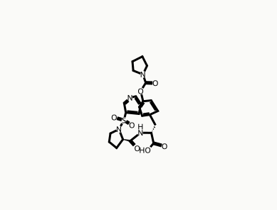 O=C(N[C@H](Cc1ccc(OC(=O)N2CCCC2)cc1)C(=O)O)[C@H]1CCCN1S(=O)(=O)c1cccnc1